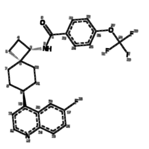 O=C(N[C@H]1CC[C@]12CC[C@H](c1ccnc3ccc(F)cc31)CC2)c1ccc(OC(F)(F)F)cc1